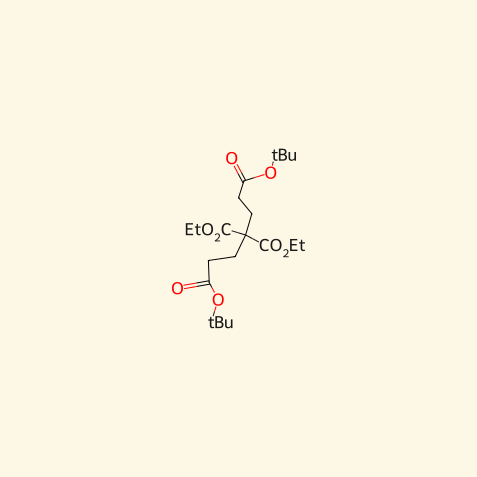 CCOC(=O)C(CCC(=O)OC(C)(C)C)(CCC(=O)OC(C)(C)C)C(=O)OCC